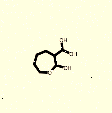 OC(O)C1CCCCOC1O